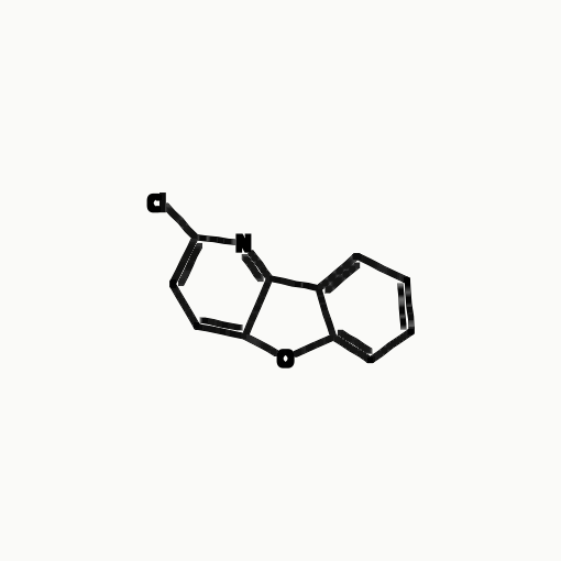 Clc1ccc2oc3ccccc3c2n1